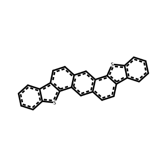 c1ccc2c(c1)sc1c3cc4ccc5c6ccccc6sc5c4cc3ccc21